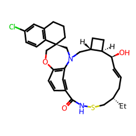 CC[C@H]1C/C=C/[C@H](O)[C@@H]2CC[C@H]2CN2C[C@@]3(CCCc4cc(Cl)ccc43)COc3ccc(cc32)C(=O)NSC1